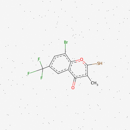 Cc1c(S)oc2c(Br)cc(C(F)(F)F)cc2c1=O